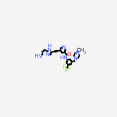 CN1CCN(Cc2cc(NC(=O)c3cncc(C#Cc4cnc(/C=C\C=N)[nH]4)c3)cc(C(F)(F)F)c2)CC1